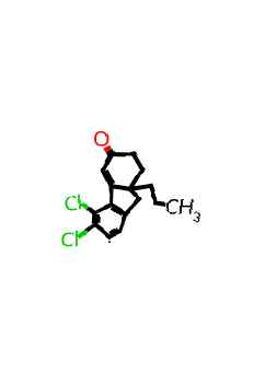 CCCC12CCC(=O)C=C1c1c(c[c]c(Cl)c1Cl)C2